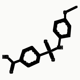 COc1ccc(NS(=O)(=O)c2ccc(C(=O)O)cc2)cc1